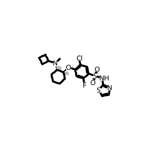 CN(C1CCC1)[C@H]1CCCC[C@@H]1Oc1cc(F)c(S(=O)(=O)Nc2nccs2)cc1Cl